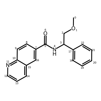 COCC(NC(=O)c1ccc2ncccc2c1)c1ccccc1